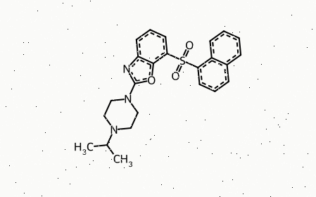 CC(C)N1CCN(c2nc3cccc(S(=O)(=O)c4cccc5ccccc45)c3o2)CC1